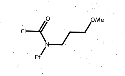 CCN(CCCOC)C(=O)Cl